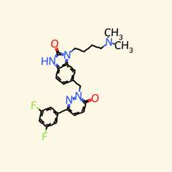 CN(C)CCCCn1c(=O)[nH]c2ccc(Cn3nc(-c4cc(F)cc(F)c4)ccc3=O)cc21